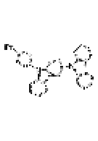 CC(C)c1ccc(-n2c3ccccc3c3cc(-n4c5ccccc5c5ccccc54)ccc32)cc1